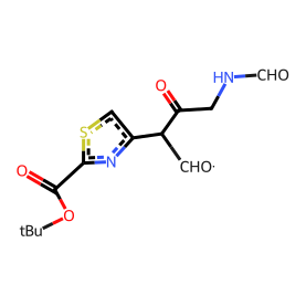 CC(C)(C)OC(=O)c1nc(C([C]=O)C(=O)CNC=O)cs1